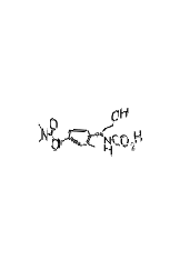 Cc1cc(OC(=O)N(C)C)ccc1[C@@H](CCO)NC(=O)O